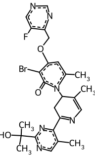 CC1=CN=C(c2nc(C(C)(C)O)ncc2C)CC1n1c(C)cc(OCc2ncncc2F)c(Br)c1=O